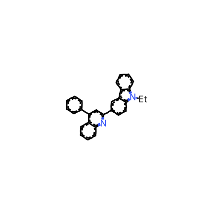 CCn1c2ccccc2c2cc(-c3cc(-c4ccccc4)c4ccccc4n3)ccc21